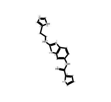 N=C(Nc1ccc2nc(NCCc3cnc[nH]3)sc2c1)c1cccs1